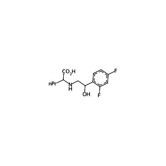 CCCC(NCC(O)c1ccc(F)cc1F)C(=O)O